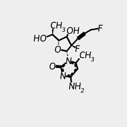 Cc1cc(N)nc(=O)n1[C@@H]1O[C@H]([C@H](C)O)C(O)[C@]1(F)C#CCF